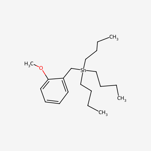 CCC[CH2][Sn]([CH2]CCC)([CH2]CCC)[CH2]c1ccccc1OC